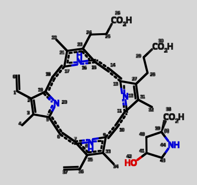 C=CC1=C(C)c2cc3[nH]c(cc4nc(cc5[nH]c(cc1n2)c(C)c5CCC(=O)O)C(CCC(=O)O)=C4C)c(C)c3C=C.O=C(O)[C@@H]1CC(O)CN1